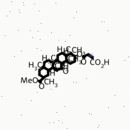 COC(=O)[C@@]1(C)CC[C@]2(C)CC[C@]3(C)C(=CC(=O)[C@@H]4[C@@]5(C)CC[C@H](OC(=O)/C=C\C(=O)O)C(C)(C)[C@@H]5CC[C@]43C)[C@H]2C1